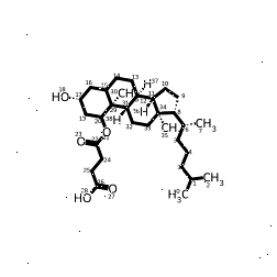 CC(C)CCC[C@@H](C)[C@H]1CC[C@H]2[C@@H]3CCC4C[C@@H](O)CC(OC(=O)CCC(=O)O)[C@]4(C)[C@H]3CC[C@]12C